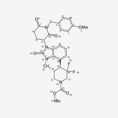 COc1ccc(CN2C(=O)CCC(n3c(=O)n(C)c4c([C@@H]5CCN(C(=O)OC(C)(C)C)CC5(F)F)cccc43)C2=O)cc1